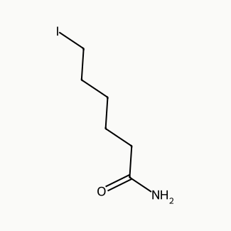 NC(=O)CCCCCI